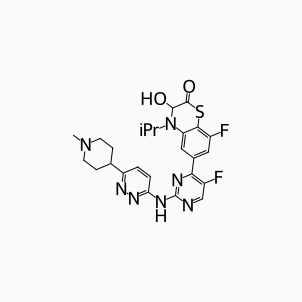 CC(C)N1c2cc(-c3nc(Nc4ccc(C5CCN(C)CC5)nn4)ncc3F)cc(F)c2SC(=O)C1O